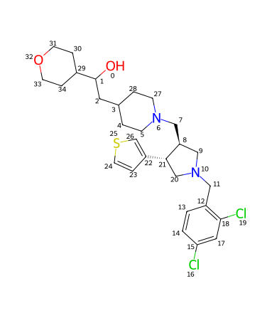 OC(CC1CCN(C[C@H]2CN(Cc3ccc(Cl)cc3Cl)C[C@@H]2c2ccsc2)CC1)C1CCOCC1